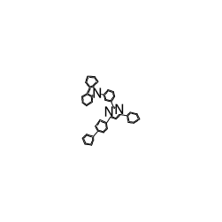 c1ccc(-c2ccc(-c3cc(-c4ccccc4)nc(-c4cccc(-n5c6ccccc6c6ccccc65)c4)n3)cc2)cc1